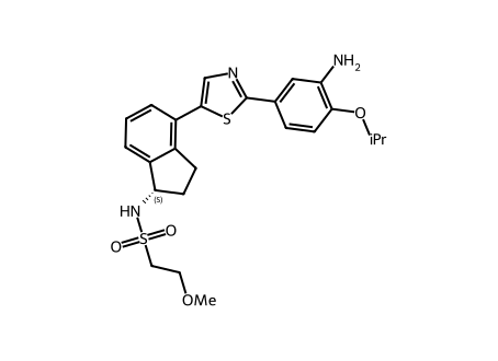 COCCS(=O)(=O)N[C@H]1CCc2c(-c3cnc(-c4ccc(OC(C)C)c(N)c4)s3)cccc21